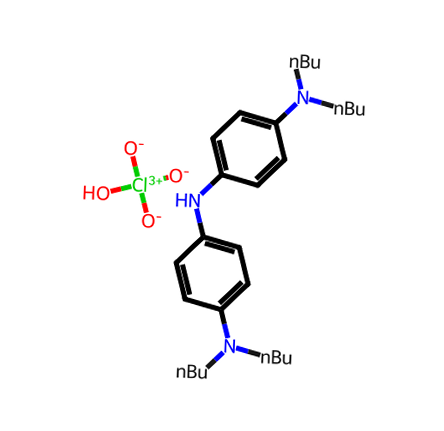 CCCCN(CCCC)c1ccc(Nc2ccc(N(CCCC)CCCC)cc2)cc1.[O-][Cl+3]([O-])([O-])O